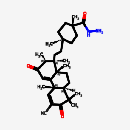 C[C@H]1C(=O)C=C2[C@@]3(C)C=C(C#N)C(=O)C(C)(C)[C@@H]3CC[C@@]2(C)[C@]1(C)CC[C@]1(C)CC[C@@](C)(C(=O)NN)CC1